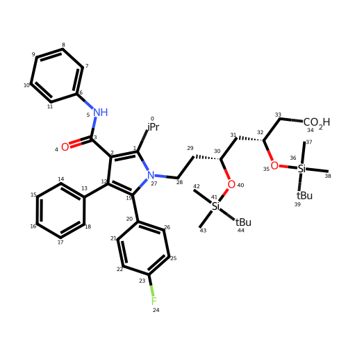 CC(C)c1c(C(=O)Nc2ccccc2)c(-c2ccccc2)c(-c2ccc(F)cc2)n1CC[C@H](C[C@H](CC(=O)O)O[Si](C)(C)C(C)(C)C)O[Si](C)(C)C(C)(C)C